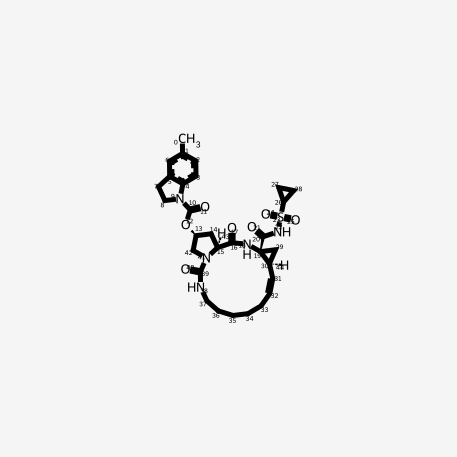 Cc1ccc2c(c1)CCN2C(=O)O[C@@H]1C[C@H]2C(=O)N[C@]3(C(=O)NS(=O)(=O)C4CC4)C[C@H]3/C=C\CCCCCNC(=O)N2C1